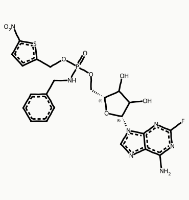 Nc1nc(F)nc2c1ncn2[C@@H]1O[C@H](COP(=O)(NCc2ccccc2)OCc2ccc([N+](=O)[O-])s2)C(O)C1O